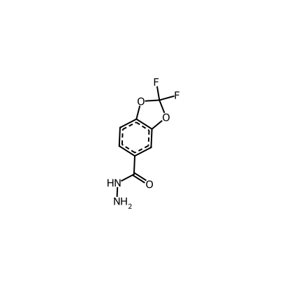 NNC(=O)c1ccc2c(c1)OC(F)(F)O2